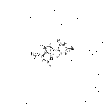 Cc1cc(N)c2c(C)cn(-c3c(C)cc(Br)cc3C)c2n1